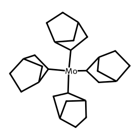 C1CC2CC1C[CH]2[Mo]([CH]1CC2CCC1C2)([CH]1CC2CCC1C2)[CH]1CC2CCC1C2